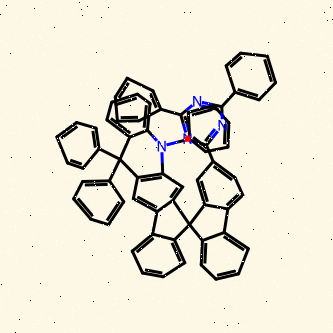 c1ccc(-c2nc(-c3ccccc3)nc(-c3ccc4c(c3)C3(c5ccccc5-4)c4ccccc4-c4cc5c(cc43)N(c3ccccc3)c3ccccc3C5(c3ccccc3)c3ccccc3)n2)cc1